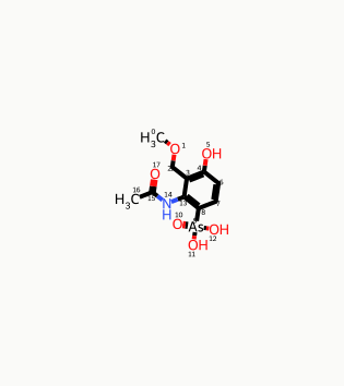 CO[CH]c1c(O)ccc([As](=O)(O)O)c1NC(C)=O